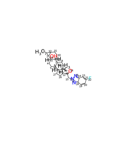 CC1C2[C@@H]3CC[C@@H]4[C@H](CC[C@]5(C)[C@@H](C(=O)Cn6nc7ccc(F)cc7n6)CC[C@@H]45)[C@H]3CC[C@]12O